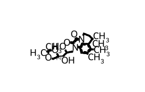 Cc1cc2c3c(c1C)C(C)(C)CCn3c(=O)c(=O)n2CC(O)C(O)[C@H]1COC(C)(C)O1